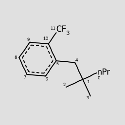 CCCC(C)(C)Cc1ccccc1C(F)(F)F